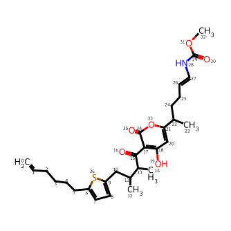 C=CCCCCc1ccc(CC(C)C(C)C(=O)c2c(O)cc(C(C)CC/C=C/NC(=O)OC)oc2=O)s1